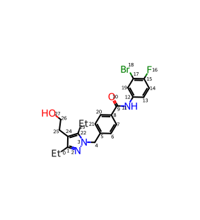 CCc1nn(Cc2ccc(C(=O)Nc3ccc(F)c(Br)c3)cc2)c(CC)c1CCO